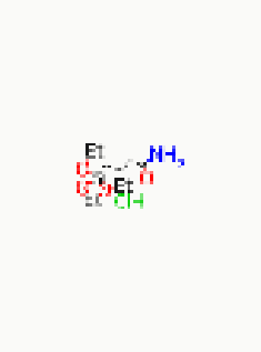 CCO[Si](CCCC(N)=O)(OCC)OCC.Cl